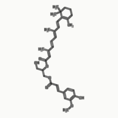 COc1cc(/C=C/C(=O)OCC(CO)OC(=O)/C=C(C)/C=C/C=C(C)/C=C/C2=C(C)CCCC2(C)C)ccc1O